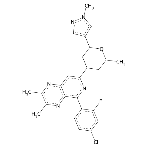 Cc1nc2cc(C3CC(C)OC(c4cnn(C)c4)C3)nc(-c3ccc(Cl)cc3F)c2nc1C